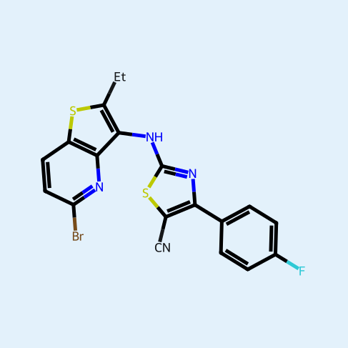 CCc1sc2ccc(Br)nc2c1Nc1nc(-c2ccc(F)cc2)c(C#N)s1